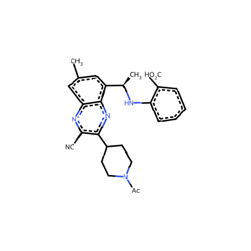 CC(=O)N1CCC(c2nc3c([C@@H](C)Nc4ccccc4C(=O)O)cc(C)cc3nc2C#N)CC1